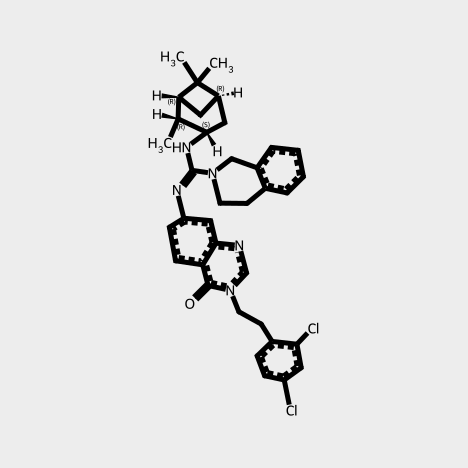 C[C@H]1[C@@H](NC(=Nc2ccc3c(=O)n(CCc4ccc(Cl)cc4Cl)cnc3c2)N2CCc3ccccc3C2)C[C@H]2C[C@H]1C2(C)C